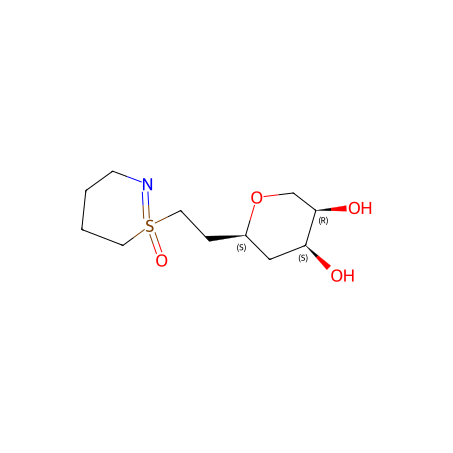 O=S1(CC[C@@H]2C[C@H](O)[C@H](O)CO2)=NCCCC1